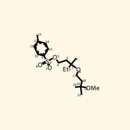 CCC(C)(CCOS(=O)(=O)c1ccc(C)cc1)OCCC(C)(C)OC